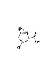 COC(=O)c1cc(Cl)cc(N)n1